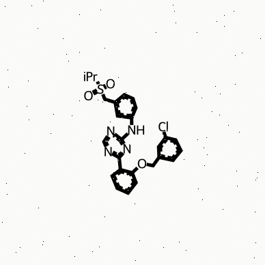 CC(C)S(=O)(=O)Cc1cccc(Nc2ncnc(-c3ccccc3OCc3cccc(Cl)c3)n2)c1